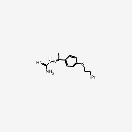 CC(=NNC(=N)N)c1ccc(SCCC(C)C)cc1